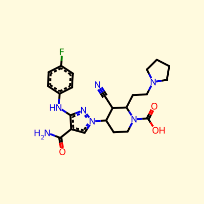 N#CC1C(CCN2CCCC2)N(C(=O)O)CCC1n1cc(C(N)=O)c(Nc2ccc(F)cc2)n1